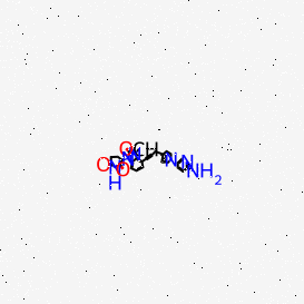 Cn1c(=O)n([C@@H]2CCC(=O)NC2=O)c2cccc(C#CCC3CCN(c4ccc(N)nc4)CC3)c21